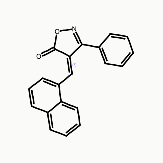 O=C1ON=C(c2ccccc2)/C1=C/c1cccc2ccccc12